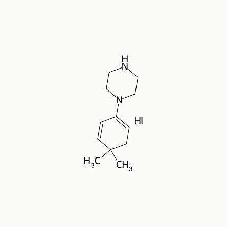 CC1(C)C=CC(N2CCNCC2)=CC1.I